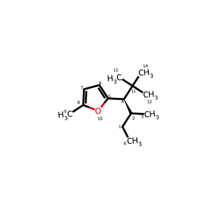 CCC(C)[C@@H](c1ccc(C)o1)C(C)(C)C